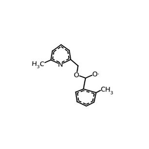 Cc1cccc(COC([O])c2ccccc2C)n1